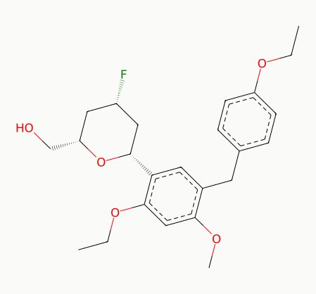 CCOc1ccc(Cc2cc([C@H]3C[C@@H](F)C[C@@H](CO)O3)c(OCC)cc2OC)cc1